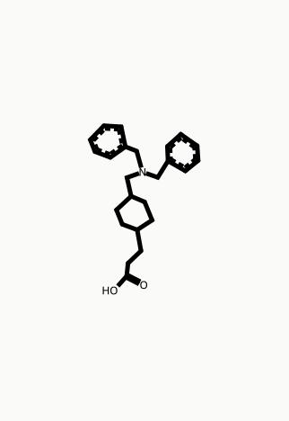 O=C(O)CCC1CCC(CN(Cc2ccccc2)Cc2ccccc2)CC1